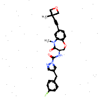 CN1C(=O)[C@H](NC(=O)n2cc(Cc3ccc(F)cc3)cn2)COc2ccc(C#CC3(C)COC3)cc21